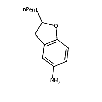 CCCCCC1Cc2cc(N)ccc2O1